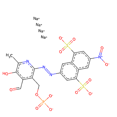 Cc1nc(N=Nc2cc(S(=O)(=O)[O-])c3cc([N+](=O)[O-])cc(S(=O)(=O)[O-])c3c2)c(COP(=O)([O-])[O-])c(C=O)c1O.[Na+].[Na+].[Na+].[Na+]